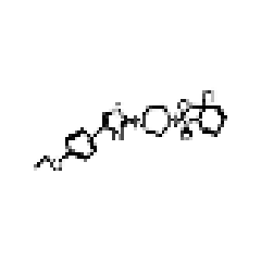 CCOc1ccc(-c2csc(N3CCN(S(=O)(=O)C4C=CC=CC4(C)Cl)CC3)n2)cc1